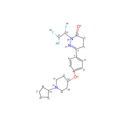 O=C1CCC(c2ccc(OC3CCN(C4CCCC4)CC3)cc2)=NN1C(F)C(F)F